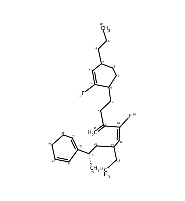 C=C(CCC1CCC(CCC)C=C1F)/C(F)=C\C(CC)C[C@H](C)C1=CCCC=C1